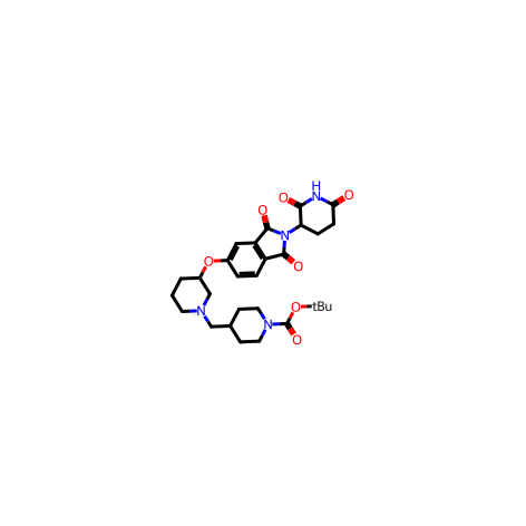 CC(C)(C)OC(=O)N1CCC(CN2CCCC(Oc3ccc4c(c3)C(=O)N(C3CCC(=O)NC3=O)C4=O)C2)CC1